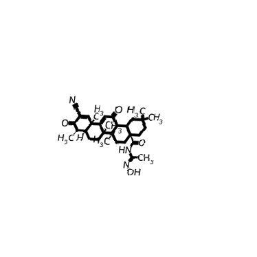 C/C(=N\O)NC(=O)[C@]12CCC(C)(C)CC1C1C(=O)C=C3[C@@]4(C)C=C(C#N)C(=O)[C@@H](C)[C@@H]4CC[C@@]3(C)[C@]1(C)CC2